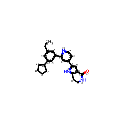 CCc1cc(-c2cc(-c3cc4c([nH]3)CCNC4=O)ccn2)cc(C2CCCC2)c1